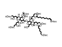 CCCCCC/C=C\CCCCCCCC(=O)OC(CCCCCCCCCCC)CC(=O)N[C@H]1C(OC(=O)CC(CCCCCCCCCCC)OC(=O)CCCCCCCCCCCCCCC)C(O)C(CO)O[C@H]1OCC1OC(OP(=O)(O)O)[C@@H](NC(=O)CC(O)CCCCCCCCCCC)C(OC(=O)CC(O)CCCCCCCCCCC)[C@@H]1O